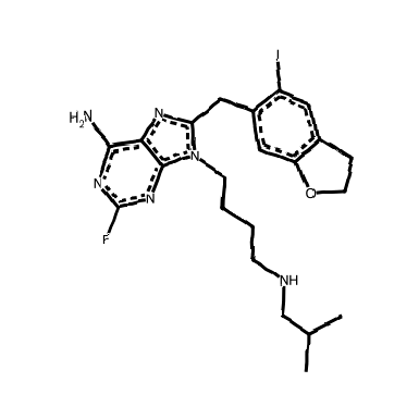 CC(C)CNCCCCn1c(Cc2cc3c(cc2I)CCO3)nc2c(N)nc(F)nc21